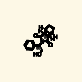 O=C1[C@@H]2[C@H](C(=O)N1[C@H](CO)c1ccccc1)[C@H]1CC[C@@H]2O1